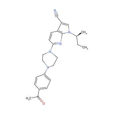 CC[C@H](C)n1cc(C#N)c2ccc(N3CCN(c4ccc(C(C)=O)cc4)CC3)nc21